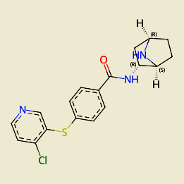 O=C(N[C@@H]1C[C@H]2CC[C@@H]1N2)c1ccc(Sc2cnccc2Cl)cc1